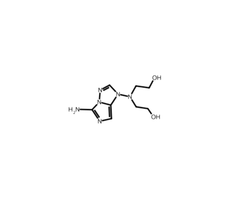 Nc1ncc2n(N(CCO)CCO)cnn12